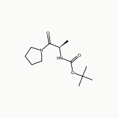 C[C@@H](NC(=O)OC(C)(C)C)C(=O)N1CCCC1